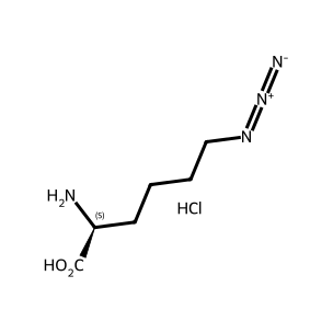 Cl.[N-]=[N+]=NCCCC[C@H](N)C(=O)O